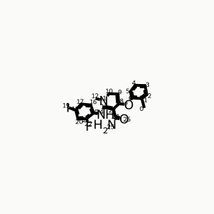 Cc1ccccc1OC1=CCN(C)C(Nc2ccc(I)cc2F)=C1C(N)=O